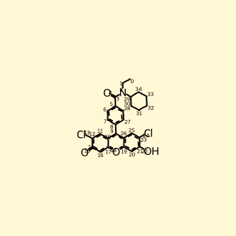 CCN(C(=O)c1ccc(-c2c3cc(Cl)c(=O)cc-3oc3cc(O)c(Cl)cc23)cc1)C1CCCCC1